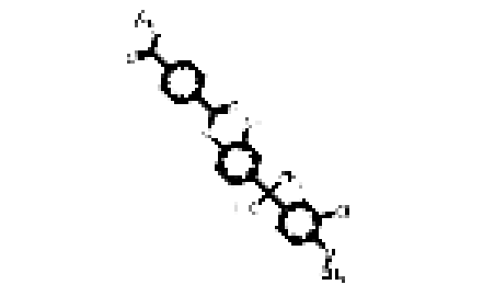 COC(=O)c1ccc(C(=O)Oc2ccc(C(C)(C)c3ccc(OC)c(C)c3)cc2C)cc1